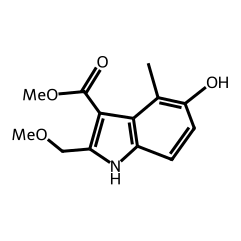 COCc1[nH]c2ccc(O)c(C)c2c1C(=O)OC